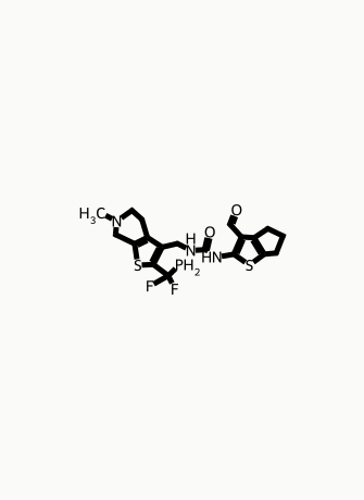 CN1CCc2c(sc(C(F)(F)P)c2CNC(=O)Nc2sc3c(c2C=O)CCC3)C1